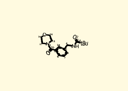 CC(C)(C)C(=O)NCc1cccc(C(=O)N2CCOCC2)c1